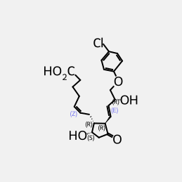 O=C(O)CCC/C=C\C[C@H]1[C@@H](O)CC(=O)[C@@H]1/C=C/[C@@H](O)COc1ccc(Cl)cc1